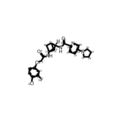 O=C(COc1ccc(Cl)c(F)c1)NC12CC(C1)[C@H](NC(=O)c1ccc(N3CCCC3)cn1)C2